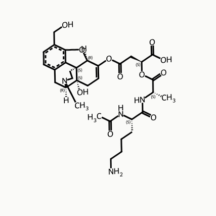 CC(=O)N[C@@H](CCCCN)C(=O)N[C@@H](C)C(=O)O[C@@H](CC(=O)OC1=CC[C@@]2(O)[C@H]3Cc4ccc(CO)c5c4[C@@]2(CCN3C)[C@H]1O5)C(=O)O